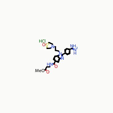 COC(=O)CCNC(=O)c1ccc2c(c1)nc(-c1ccc(C(=N)N)cc1)n2CCCN1CC[S+]([O-])CC1.Cl